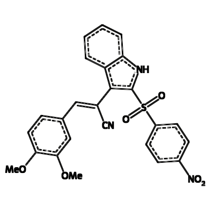 COc1ccc(C=C(C#N)c2c(S(=O)(=O)c3ccc([N+](=O)[O-])cc3)[nH]c3ccccc23)cc1OC